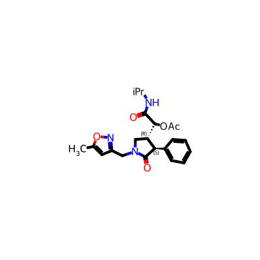 CC(=O)OC(C(=O)NC(C)C)[C@H]1CN(Cc2cc(C)on2)C(=O)[C@@H]1c1ccccc1